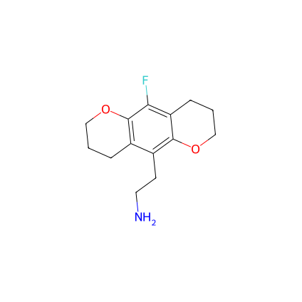 NCCc1c2c(c(F)c3c1OCCC3)OCCC2